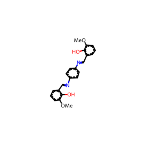 COc1cccc(C=Nc2ccc(N=Cc3cccc(OC)c3O)cc2)c1O